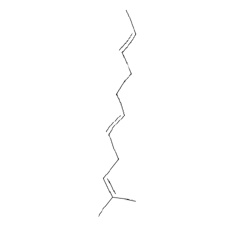 CC=CCCC=CCC=C(C)C